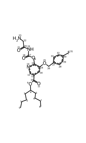 CCCCC(CCCC)OC(=O)c1cnc(OC(=O)NC(=O)CN)c(OCc2ccc(F)cc2)c1